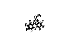 CC(C)OCCN1c2c(F)c(F)c(F)c(F)c2Sc2c(F)c(F)c(F)c(F)c21